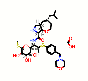 CS[C@H]1O[C@H]([C@H](NC(=O)[C@H]2NC[C@@H]3C[C@H](CC(C)C)CCO[C@H]32)[C@H](C)Sc2ccc(CN3CCOCC3)cc2)[C@H](O)[C@H](O)[C@H]1O.O=CO